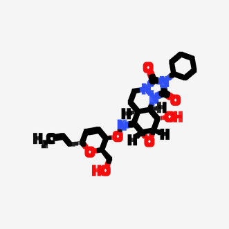 C=CC[C@@H]1C=C[C@H](O/N=C2/[C@H]3CCn4c(=O)n(C5CCCCC5)c(=O)n4[C@H]3[C@H](O)[C@@H]3O[C@H]23)[C@@H](CO)O1